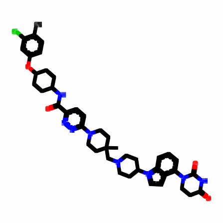 CC1(CN2CCC(n3ccc4c(N5CCC(=O)NC5=O)cccc43)CC2)CCN(c2ccc(C(=O)NC3CCC(Oc4ccc(C#N)c(Cl)c4)CC3)nn2)CC1